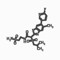 Cc1cc2nc(C(C(=O)NCCS(N)(=O)=O)S(=O)(=O)CC(C)C)sc2cc1-c1ccc(F)nc1